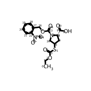 CCOC(=O)SC1C[C@@H](C(=O)O)N(C(=O)OCc2ccccc2[N+](=O)[O-])C1